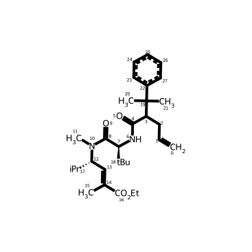 C=CCC(C(=O)N[C@H](C(=O)N(C)[C@H](/C=C(\C)C(=O)OCC)C(C)C)C(C)(C)C)C(C)(C)c1ccccc1